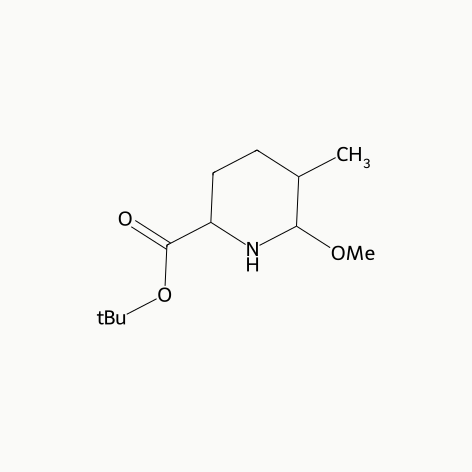 COC1NC(C(=O)OC(C)(C)C)CCC1C